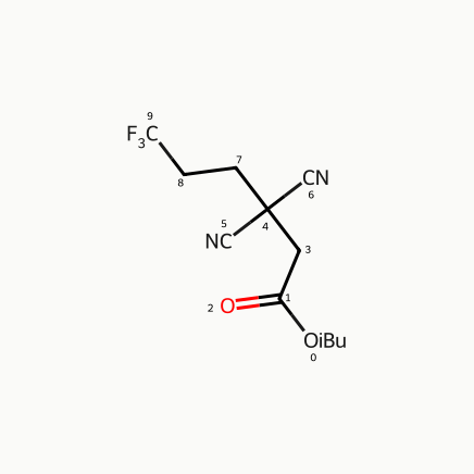 CC(C)COC(=O)CC(C#N)(C#N)CCC(F)(F)F